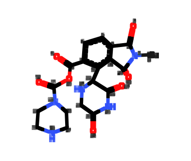 CC(C)(C)N1C(=O)c2ccc(C(=O)OC(=O)N3CCNCC3)c(C3NCC(=O)NC3=O)c2C1=O